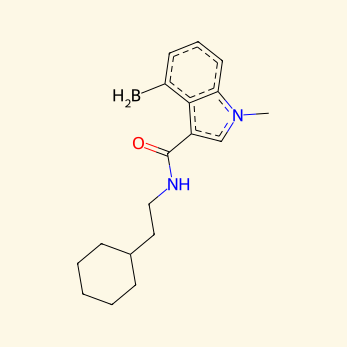 Bc1cccc2c1c(C(=O)NCCC1CCCCC1)cn2C